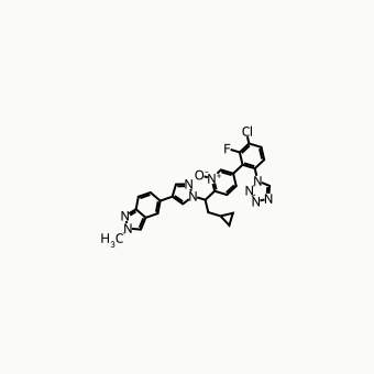 Cn1cc2cc(-c3cnn(C(CC4CC4)c4ccc(-c5c(-n6cnnn6)ccc(Cl)c5F)c[n+]4[O-])c3)ccc2n1